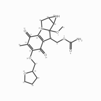 COC12C(COC(N)=O)C3=C(C(=O)C(C)=C(OCC4CCCO4)C3=O)N1CC1NC12